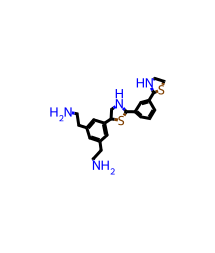 NCCc1cc(CCN)cc(C2CNC(c3cccc(C4NCCS4)c3)S2)c1